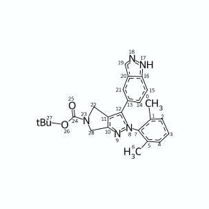 Cc1cccc(C)c1-n1nc2c(c1-c1ccc3[nH]ncc3c1)CN(C(=O)OC(C)(C)C)C2